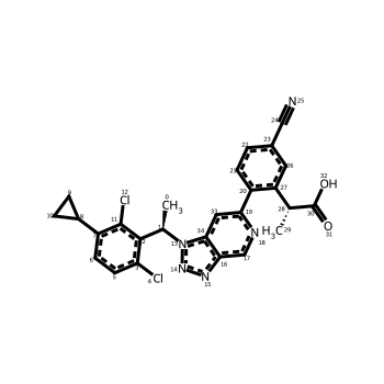 C[C@H](c1c(Cl)ccc(C2CC2)c1Cl)n1nnc2cnc(-c3ccc(C#N)cc3[C@@H](C)C(=O)O)cc21